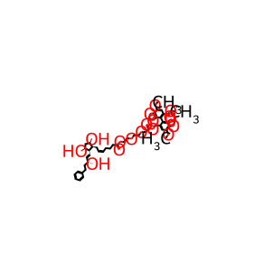 COC(=O)c1cc(OC)c2c(c1-c1c(COC(=O)COCCOCCOC(=O)CCC/C=C\C[C@H]3[C@H](/C=C/[C@H](O)CCc4ccccc4)[C@@H](O)C[C@H]3O)cc(OC)c3c1OCO3)OCO2